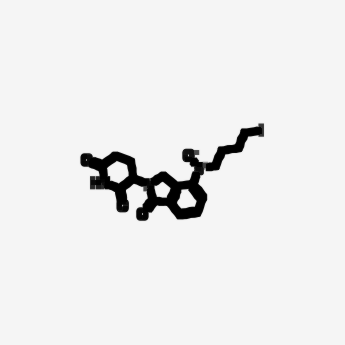 O=C1CCC(N2Cc3c(cccc3[S+]([O-])CCCCI)C2=O)C(=O)N1